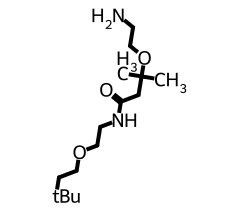 CC(C)(C)CCOCCNC(=O)CC(C)(C)OCCN